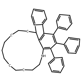 CC1CCCCCCCCCCCNc2c(-c3ccccc3)c(-c3ccccc3)c(-c3ccccc3)c(-c3ccccc3)c21